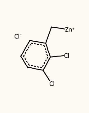 Clc1cccc([CH2][Zn+])c1Cl.[Cl-]